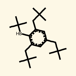 CC(C)(C)Bc1c(CC(C)(C)C)cc(CC(C)(C)C)cc1CC(C)(C)C